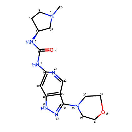 CN1CC[C@H](NC(=O)Nc2cc3[nH]nc(N4CCOCC4)c3cn2)C1